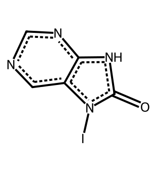 O=c1[nH]c2ncncc2n1I